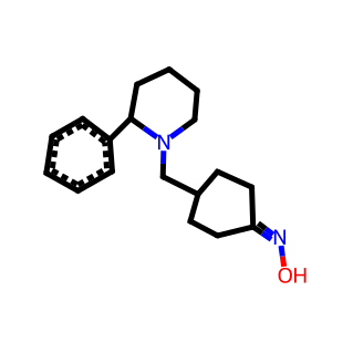 ON=C1CCC(CN2CCCCC2c2ccccc2)CC1